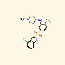 Cc1ccc(S(=O)(=O)c2cc3c(Cl)cccc3[nH]2)cc1NC1CCN(C)CC1